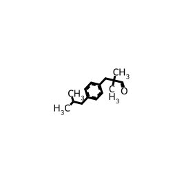 CC(C)Cc1ccc(CC(C)(C)C=O)cc1